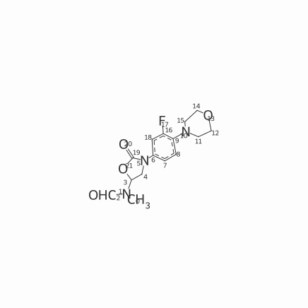 CN(C=O)C1CN(c2ccc(N3CCOCC3)c(F)c2)C(=O)O1